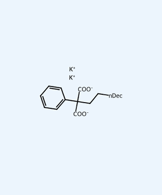 CCCCCCCCCCCCC(C(=O)[O-])(C(=O)[O-])c1ccccc1.[K+].[K+]